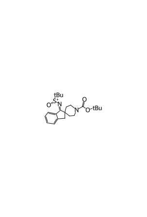 CC(C)(C)OC(=O)N1CCC2(CC1)Cc1ccccc1/C2=N\[S+]([O-])C(C)(C)C